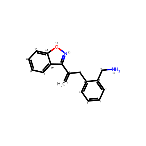 C=C(Cc1ccccc1CN)c1noc2ccccc12